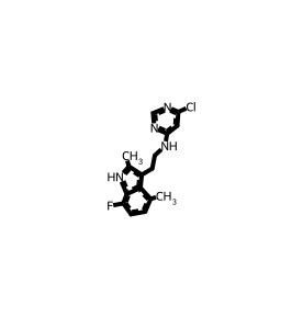 Cc1[nH]c2c(F)ccc(C)c2c1CCNc1cc(Cl)ncn1